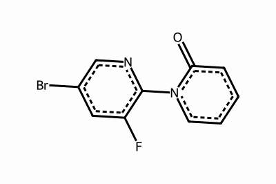 O=c1ccccn1-c1ncc(Br)cc1F